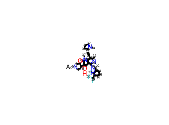 CC(=O)N1CCC(O)(c2cc3c(N[C@H](C)c4cccc(C(F)F)c4F)nc(C)c(C#C[C@@H]4CCCN4C)c3n(C)c2=O)CC1